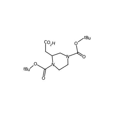 CC(C)(C)OC(=O)N1CCN(C(=O)OC(C)(C)C)C(CC(=O)O)C1